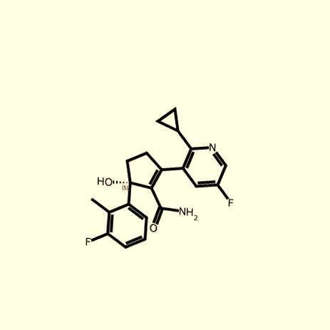 Cc1c(F)cccc1[C@@]1(O)CCC(c2cc(F)cnc2C2CC2)=C1C(N)=O